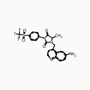 CC1C(=O)N(c2ccc(S(=O)(=O)C(F)(F)F)cc2)C(=O)N1Cc1ccnc2ccc(N)cc12